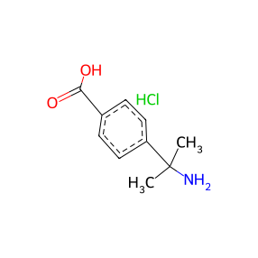 CC(C)(N)c1ccc(C(=O)O)cc1.Cl